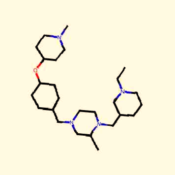 CCN1CCCC(CN2CCN(CC3CCC(OC4CCN(C)CC4)CC3)CC2C)C1